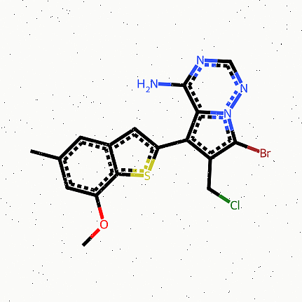 COc1cc(C)cc2cc(-c3c(CCl)c(Br)n4ncnc(N)c34)sc12